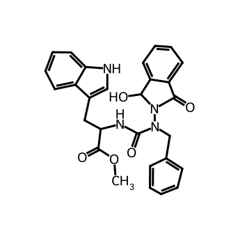 COC(=O)C(Cc1c[nH]c2ccccc12)NC(=O)N(Cc1ccccc1)N1C(=O)c2ccccc2C1O